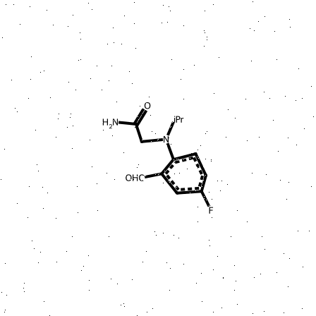 CC(C)N(CC(N)=O)c1ccc(F)cc1C=O